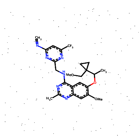 C=Nc1cc(C(F)(F)F)nc(CNc2nc(C)nc3cc(OC)c(OC(C)C4(COC)CC4)cc23)n1